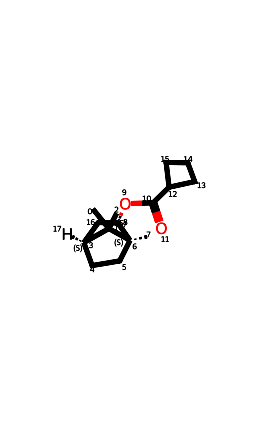 CC1(C)[C@H]2CC[C@]1(C)[C@@H](OC(=O)C1CCC1)C2